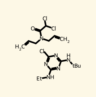 C=CCN(CC=C)C(=O)C(Cl)Cl.CCNc1nc(Cl)nc(NC(C)(C)C)n1